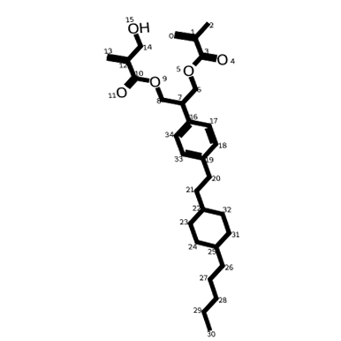 C=C(C)C(=O)OCC(COC(=O)C(=C)CO)c1ccc(CCC2CCC(CCCCC)CC2)cc1